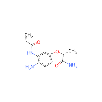 C=CC(=O)Nc1cc(O[C@H](C)C(N)=O)ccc1N